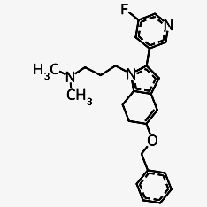 CN(C)CCCn1c(-c2cncc(F)c2)cc2c1CCC(OCc1ccccc1)=C2